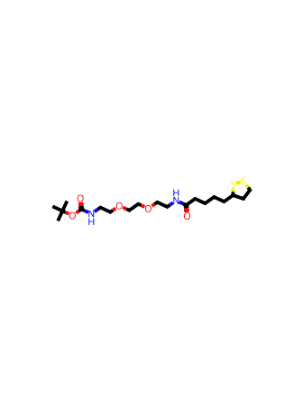 CC(C)(C)OC(=O)NCCOCCOCCNC(=O)CCCCC1CCSS1